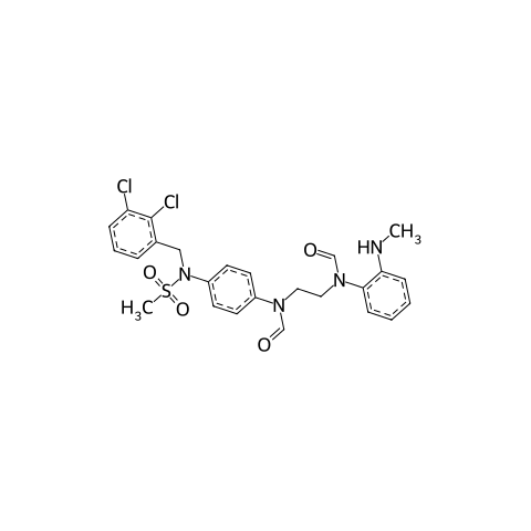 CNc1ccccc1N(C=O)CCN(C=O)c1ccc(N(Cc2cccc(Cl)c2Cl)S(C)(=O)=O)cc1